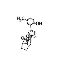 Cc1ccc(O)c(-c2csc(N3CC4CCC(C3)C4(F)C(=O)O)n2)c1